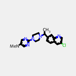 CNc1cnc(N2CCN(C(C)c3ccc4cc(Cl)cnc4c3)CC2)nc1